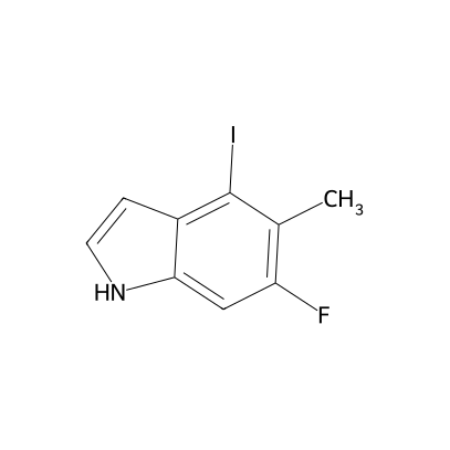 Cc1c(F)cc2[nH]ccc2c1I